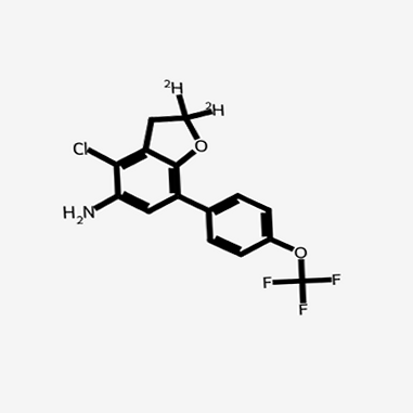 [2H]C1([2H])Cc2c(Cl)c(N)cc(-c3ccc(OC(F)(F)F)cc3)c2O1